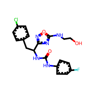 O=C(Nc1ccc(F)cc1)NC(Cc1ccc(Cl)cc1)c1noc(NCCO)n1